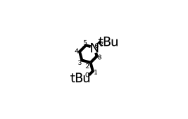 CC(C)(C)CC1CCCN(C(C)(C)C)C1